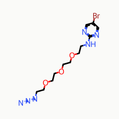 [N-]=[N+]=NCCOCCOCCOCCNc1ncc(Br)cn1